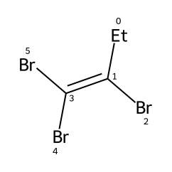 [CH2]CC(Br)=C(Br)Br